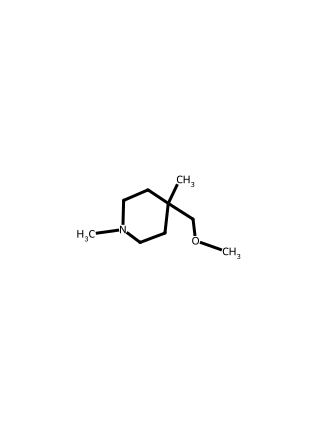 COCC1(C)CCN(C)CC1